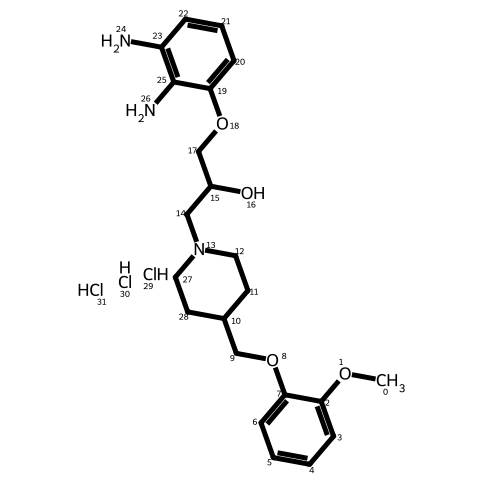 COc1ccccc1OCC1CCN(CC(O)COc2cccc(N)c2N)CC1.Cl.Cl.Cl